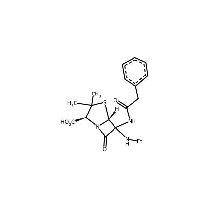 CCNC1(NC(=O)Cc2ccccc2)C(=O)N2[C@@H](C(=O)O)C(C)(C)S[C@@H]21